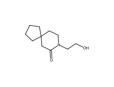 O=C1CC2(CCCC2)CCN1CCO